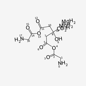 NCC(=O)OC(=O)CC(O)(CC(=O)OC(=O)CN)C(=O)O.[MgH2].[MgH2]